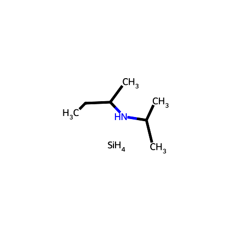 CCC(C)NC(C)C.[SiH4]